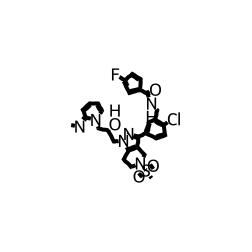 C/N=c1\ccccn1CC(O)Cn1nc(-c2ccc(Cl)c(CNC(=O)c3ccc(F)cc3)c2)c2c1CCN(S(C)(=O)=O)C2